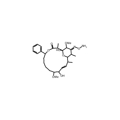 COC1CCCCC(c2ccccc2)OC(=O)C(C)C2(O)OC(C(C)/C=C/C1O)C(C)C(=NON)C2OC